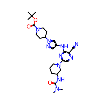 CN(C)C(=O)NC1CCCN(c2cnc(C#N)c(Nc3cnn(C4CCN(C(=O)OC(C)(C)C)CC4)c3)n2)C1